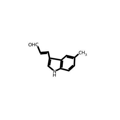 Cc1ccc2[nH]cc(/C=C/C=O)c2c1